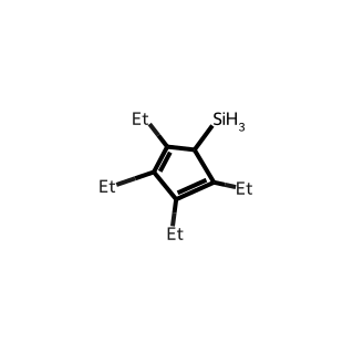 CCC1=C(CC)C([SiH3])C(CC)=C1CC